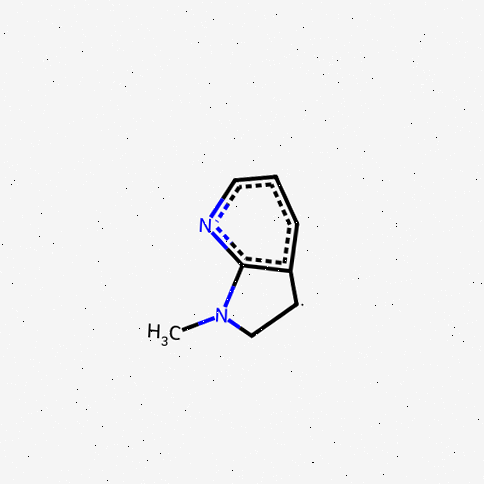 CN1C[CH]c2cccnc21